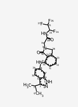 CC(C)c1n[nH]c2cc(Nc3cccc4c3C(=O)N(CC(=O)NC(F)C(F)F)C4)ccc12